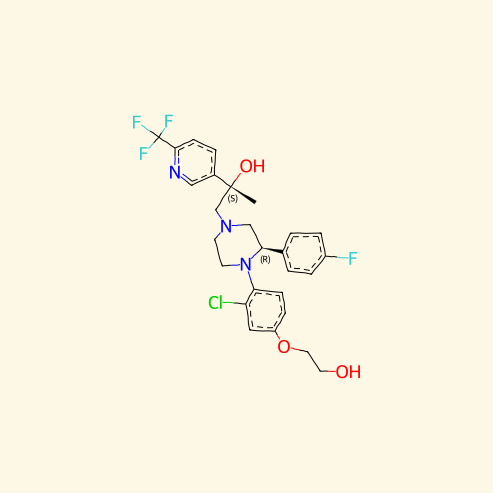 C[C@@](O)(CN1CCN(c2ccc(OCCO)cc2Cl)[C@H](c2ccc(F)cc2)C1)c1ccc(C(F)(F)F)nc1